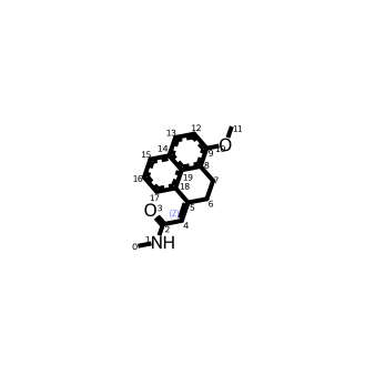 CNC(=O)/C=C1/CCc2c(OC)ccc3cccc1c23